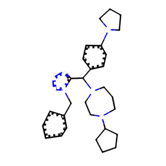 c1ccc(Cn2nnnc2C(c2ccc(N3CCCC3)cc2)N2CCCN(C3CCCC3)CC2)cc1